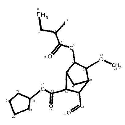 CCC(I)C(=O)OC1C2CC(C(C=O)C2C(=O)OC2CCCC2)C1OC